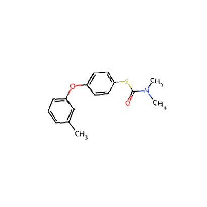 Cc1cccc(Oc2ccc(SC(=O)N(C)C)cc2)c1